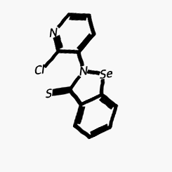 S=c1c2ccccc2[se]n1-c1cccnc1Cl